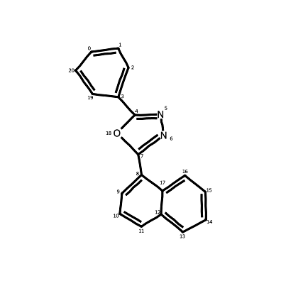 c1ccc(-c2nnc(-c3cccc4ccccc34)o2)cc1